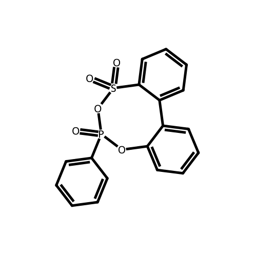 O=P1(c2ccccc2)Oc2ccccc2-c2ccccc2S(=O)(=O)O1